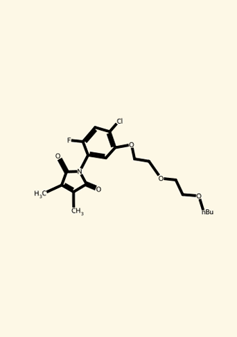 CCCCOCCOCCOc1cc(N2C(=O)C(C)=C(C)C2=O)c(F)cc1Cl